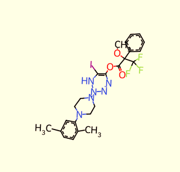 COC(C(=O)OC1=C(I)NN(N2CCN(c3cc(C)ccc3C)CC2)N=N1)(c1ccccc1)C(F)(F)F